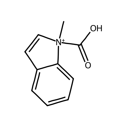 C[N+]1(C(=O)O)C=Cc2ccccc21